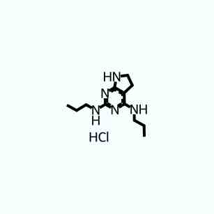 CCCNc1nc(NCCC)c2c(n1)NCC2.Cl